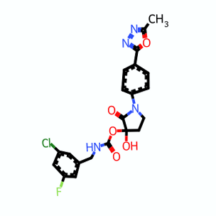 Cc1nnc(-c2ccc(N3CCC(O)(OC(=O)NCc4cc(F)cc(Cl)c4)C3=O)cc2)o1